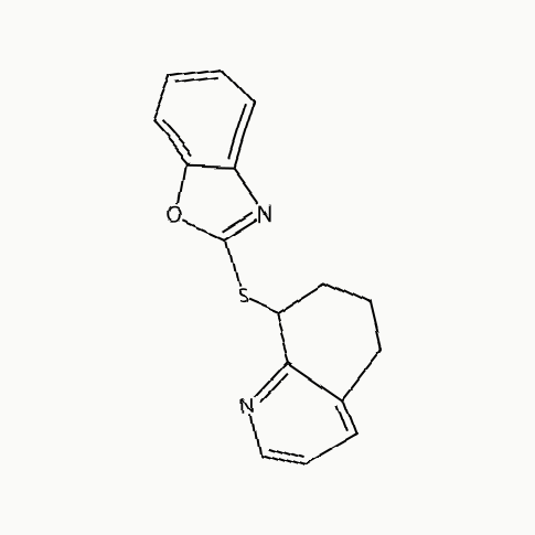 c1cnc2c(c1)CCCC2Sc1nc2ccccc2o1